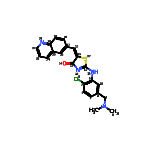 CN(C)Cc1ccc(Cl)c(NC2=NC(=O)C(=Cc3ccc4ncccc4c3)S2)c1